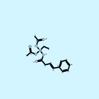 CC[Si](OC(C)=O)(OC(C)=O)OC(=O)CC=Cc1ccccc1